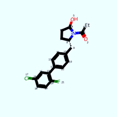 CCC(=O)N1C(O)CC[C@H]1Cc1ccc(-c2cc(Cl)ccc2F)cc1